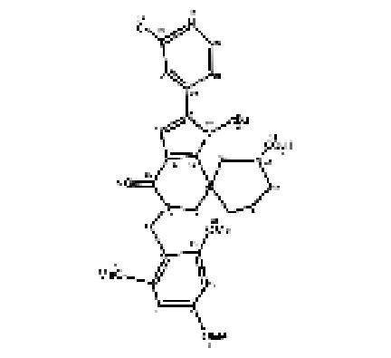 COc1cc(OC)c(CN2CC3(CCCN(C(=O)O)C3)c3c(cc(-c4ccnc(Cl)c4)n3C(C)(C)C)C2=O)c(OC)c1